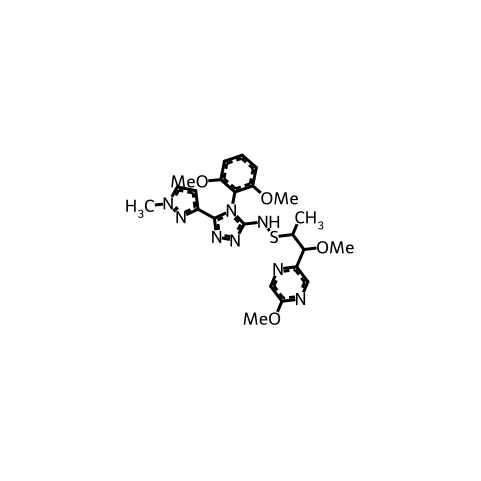 COc1cnc(C(OC)C(C)SNc2nnc(-c3ccn(C)n3)n2-c2c(OC)cccc2OC)cn1